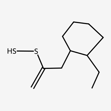 C=C(CC1CCCCC1CC)SS